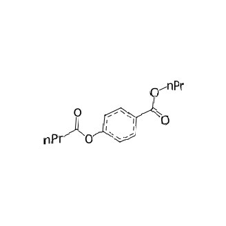 [CH2]CCC(=O)Oc1ccc(C(=O)OCCC)cc1